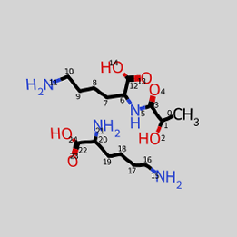 CC(O)C(=O)NC(CCCCN)C(=O)O.NCCCCC(N)C(=O)O